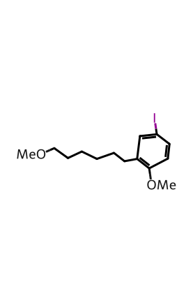 COCCCCCCc1cc(I)ccc1OC